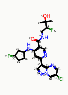 CC(C)(O)C(F)CNC(=O)c1cnc(-c2cnn3cc(Cl)cnc23)cc1NC1CCC(F)C1